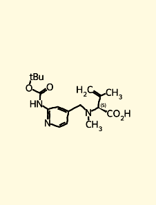 C=C(C)[C@@H](C(=O)O)N(C)Cc1ccnc(NC(=O)OC(C)(C)C)c1